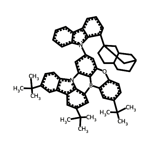 CC(C)(C)c1ccc2c(c1)B1c3c(cc(-n4c5ccccc5c5cccc(C67CCC8CCC(CC8C6)C7)c54)cc3-n3c4ccc(C(C)(C)C)cc4c4cc(C(C)(C)C)cc1c43)O2